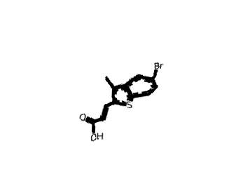 Cc1c(/C=C/C(=O)O)sc2ccc(Br)cc12